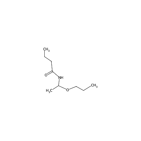 CCCOC(C)NC(=O)CCC